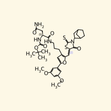 COc1cc(OC)cc(-c2cc(CCCNC(=O)[C@H](CC(N)=O)NC(=O)OC(C)(C)C)c(/C=C3\SC(=S)N(C4CC5CCC4C5)C3=O)o2)c1